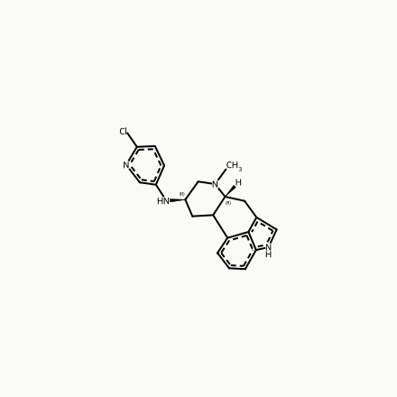 CN1C[C@H](Nc2ccc(Cl)nc2)CC2c3cccc4[nH]cc(c34)C[C@H]21